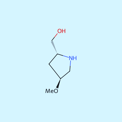 CO[C@@H]1CN[C@@H](CO)C1